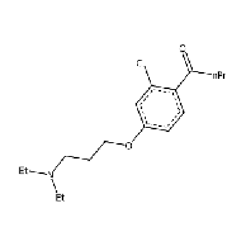 CCCC(=O)c1ccc(OCCCN(CC)CC)cc1Cl